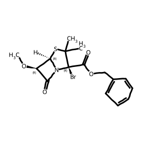 CO[C@@H]1C(=O)N2[C@@H]1SC(C)(C)[C@]2(Br)C(=O)OCc1ccccc1